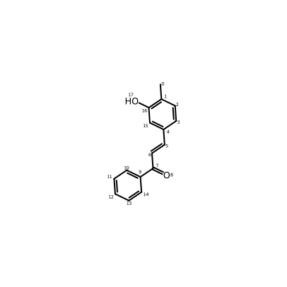 Cc1ccc(C=CC(=O)c2ccccc2)cc1O